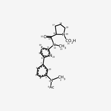 CC(=O)N(C)c1cccc(-c2csc(N(C)C(=O)C3CCCN3C(=O)O)n2)c1